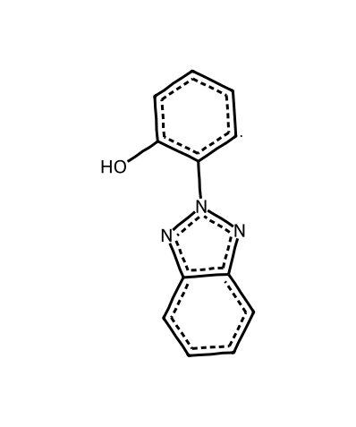 Oc1ccc[c]c1-n1nc2ccccc2n1